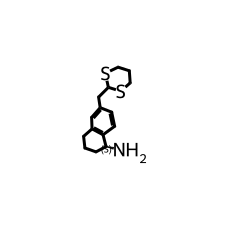 N[C@H]1CCCc2cc(CC3SCCCS3)ccc21